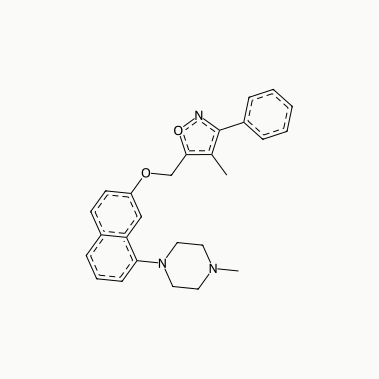 Cc1c(-c2ccccc2)noc1COc1ccc2cccc(N3CCN(C)CC3)c2c1